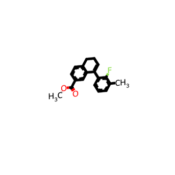 COC(=O)c1ccc2c(c1)C(c1cccc(C)c1F)=CCC2